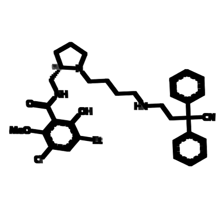 CCc1cc(Cl)c(OC)c(C(=O)NC[C@@H]2CCCN2CCCCNCCC(C#N)(c2ccccc2)c2ccccc2)c1O